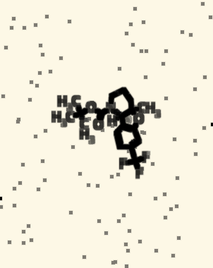 CC(C)(C)OC(=O)N1CCC[C@]2(C)Oc3cc(C(F)(F)F)ccc3[C@H]12